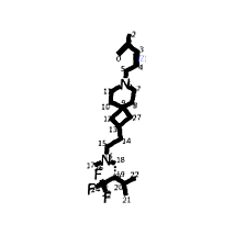 C=C(C)/C=C\CN1CCC2(CC1)CC(CCN(C)C[C@H](C(C)C)C(F)(F)F)C2